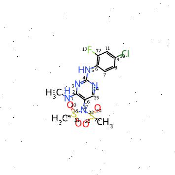 CNc1nc(Nc2ccc(Cl)cc2F)ncc1N(S(C)(=O)=O)S(C)(=O)=O